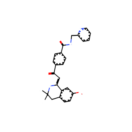 COc1ccc2c(c1)/C(=C/C(=O)c1ccc(C(=O)NCc3ccccn3)cc1)NC(C)(C)C2